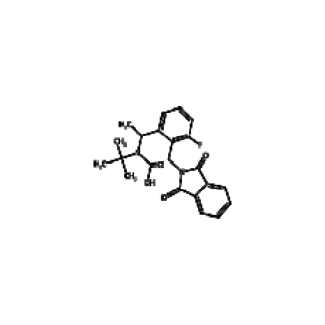 CC(c1cccc(F)c1CN1C(=O)c2ccccc2C1=O)N(C(=O)O)C(C)(C)C